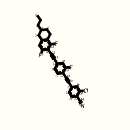 CCCC1CCc2c(cc(F)c(C#Cc3ccc(C#Cc4ccc(C#N)c(Cl)c4)c(F)c3)c2F)C1